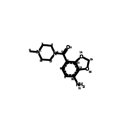 CN1CCN(C(=O)c2ccc(N)c3c2OCO3)CC1